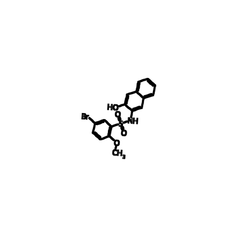 COc1ccc(Br)cc1S(=O)(=O)Nc1cc2ccccc2cc1O